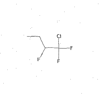 CCC(F)C(F)(F)Cl